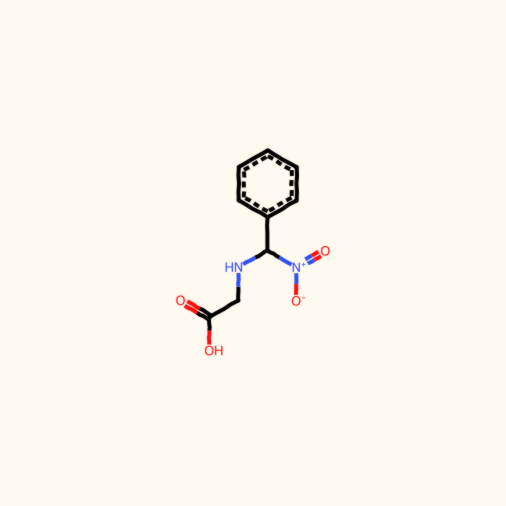 O=C(O)CNC(c1ccccc1)[N+](=O)[O-]